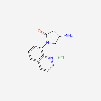 Cl.NC1CC(=O)N(c2cccc3cccnc23)C1